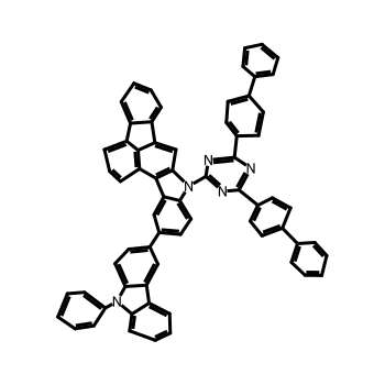 c1ccc(-c2ccc(-c3nc(-c4ccc(-c5ccccc5)cc4)nc(-n4c5ccc(-c6ccc7c(c6)c6ccccc6n7-c6ccccc6)cc5c5c6cccc7c6c(cc54)-c4ccccc4-7)n3)cc2)cc1